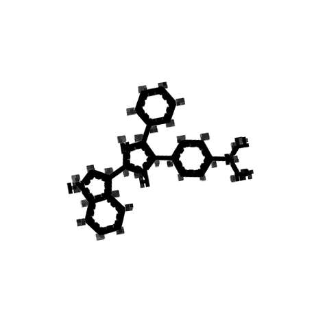 CCCN(CC)c1ccc(-c2[nH]c(-c3c[nH]c4ccccc34)nc2-c2ccccc2)cc1